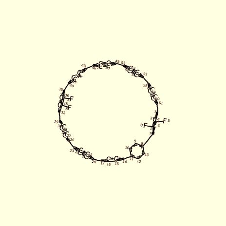 Fc1cc2c(F)cc1-c1ccc(cc1)C1=CC=C(CC1)c1ccc(cc1)-c1ccc(cc1)-c1ccc(c(F)c1F)-c1ccc(cc1)-c1ccc(cc1)-c1ccc(cc1)-c1ccc-2cc1